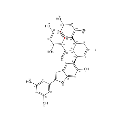 CC1=C[C@@H](c2cc3cc(-c4cc(O)cc(O)c4)oc3cc2O)[C@H](C(=O)c2ccc(O)cc2O)[C@@H](c2ccc(O)cc2O)C1